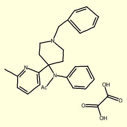 CC(=O)N(c1ccccc1)C1(c2cccc(C)n2)CCN(Cc2ccccc2)CC1.O=C(O)C(=O)O